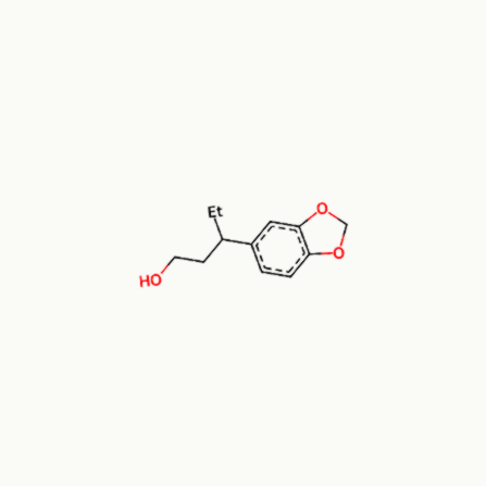 CCC(CCO)c1ccc2c(c1)OCO2